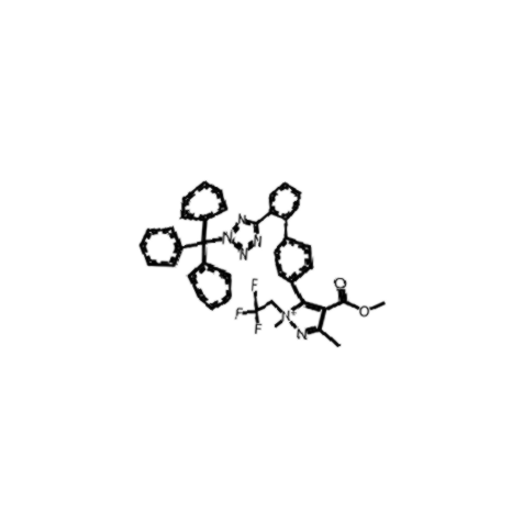 COC(=O)C1=C(c2ccc(-c3ccccc3-c3nnn(C(c4ccccc4)(c4ccccc4)c4ccccc4)n3)cc2)[N+](C)(CC(F)(F)F)N=C1C